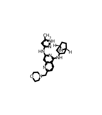 Cc1cc(Nc2cc3nc(CN4CCOCC4)ccc3c(NC3C[C@H]4CC[C@@H](C3)N4)n2)n[nH]1